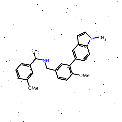 COc1cccc([C@@H](C)NCc2ccc(OC)c(-c3ccc4c(ccn4C)c3)c2)c1